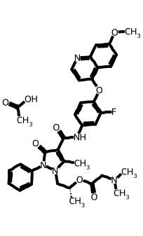 CC(=O)O.COc1ccc2c(Oc3ccc(NC(=O)c4c(C)n(C[C@@H](C)OC(=O)CN(C)C)n(-c5ccccc5)c4=O)cc3F)ccnc2c1